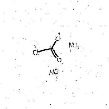 Cl.N.O=C(Cl)Cl